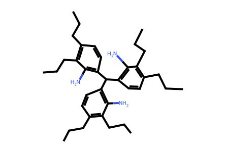 CCCc1ccc(C(c2ccc(CCC)c(CCC)c2N)c2ccc(CCC)c(CCC)c2N)c(N)c1CCC